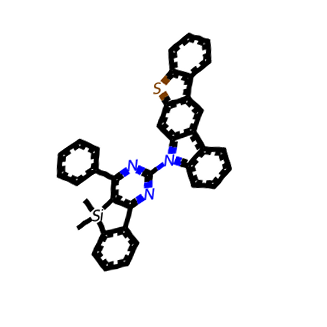 C[Si]1(C)c2ccccc2-c2nc(-n3c4ccccc4c4cc5c(cc43)sc3ccccc35)nc(-c3ccccc3)c21